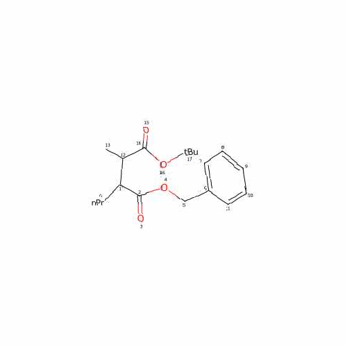 CCCC(C(=O)OCc1ccccc1)C(C)C(=O)OC(C)(C)C